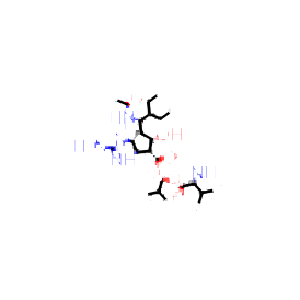 CCC(CC)[C@H](NC(C)=O)[C@H]1C(NC(=N)N)C[C@H](C(=O)OC(OC(=O)[C@H](N)C(C)C)C(C)C)[C@H]1O